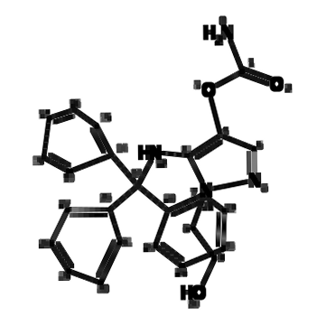 NC(=O)Oc1cnn(CCO)c1NC(c1ccccc1)(c1ccccc1)c1ccccc1